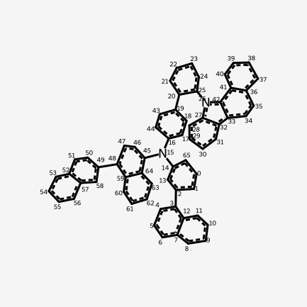 c1cc(-c2cccc3ccccc23)cc(N(c2ccc(-c3ccccc3-n3c4ccccc4c4ccc5ccccc5c43)cc2)c2ccc(-c3ccc4ccccc4c3)c3ccccc23)c1